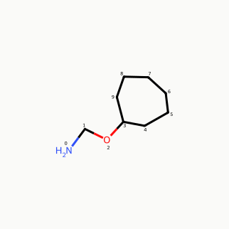 NCOC1CCCCCC1